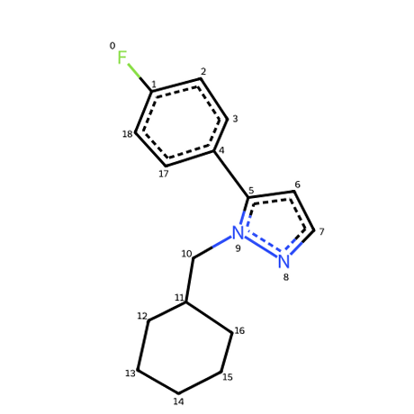 Fc1ccc(-c2ccnn2CC2CCCCC2)cc1